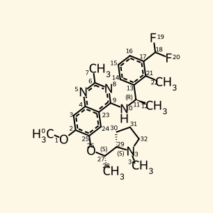 COc1cc2nc(C)nc(N[C@H](C)c3cccc(C(F)F)c3C)c2cc1O[C@@H](C)[C@@H]1CCCN1C